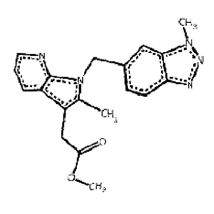 COC(=O)Cc1c(C)n(Cc2ccc3nnn(C)c3c2)c2ncccc12